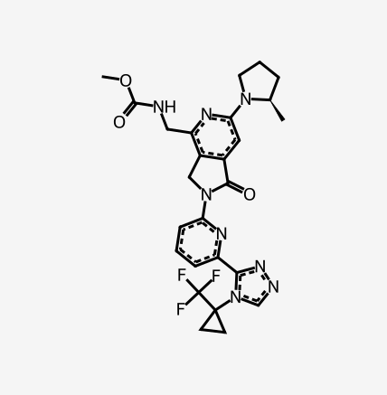 COC(=O)NCc1nc(N2CCC[C@H]2C)cc2c1CN(c1cccc(-c3nncn3C3(C(F)(F)F)CC3)n1)C2=O